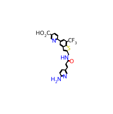 Nc1ccc(C=CC(=O)NCc2cc3cc(-c4ccc(C(=O)O)cn4)cc(C(F)(F)F)c3s2)cn1